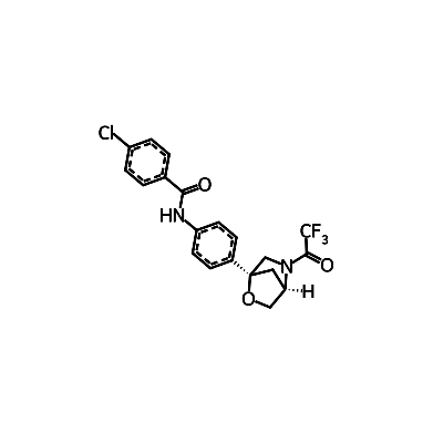 O=C(Nc1ccc([C@]23C[C@H](CO2)N(C(=O)C(F)(F)F)C3)cc1)c1ccc(Cl)cc1